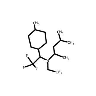 CCN(C(C)CC(C)C)C(C1CCC(C)CC1)C(F)(F)F